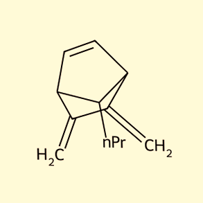 C=C1C(=C)C2C=CC1C2CCC